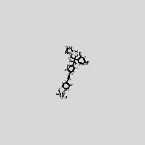 CC(C)(C)[Si](C)(C)Oc1ccc(C#Cc2ccc(C(F)(F)C(O)(Cn3cncn3)c3ccc(F)cc3F)nc2)cc1